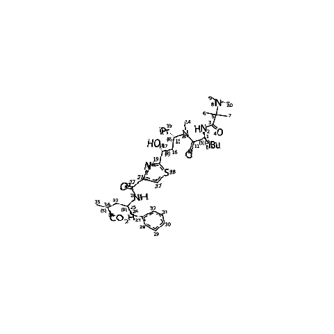 CC[C@H](C)[C@H](NC(=O)C(C)(C)N(C)C)C(=O)N(C)[C@H](C[C@@H](O)c1nc(C(=O)N[C@@H](Cc2ccccc2)C[C@H](C)C(=O)O)cs1)C(C)C